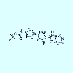 CN(C(=O)OC(C)(C)C)c1ccc(-c2cc(F)c(-c3cc4ccncc4[nH]3)cn2)cn1